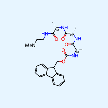 CNCCNC(=O)[C@H](C)NC(=O)[C@H](C)NC(=O)[C@H](C)NC(=O)OCC1c2ccccc2-c2ccccc21